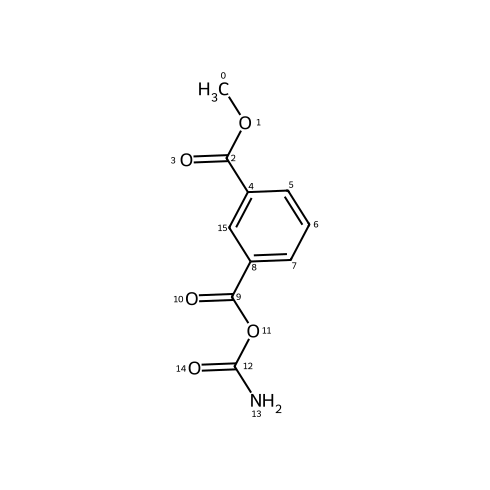 COC(=O)c1cccc(C(=O)OC(N)=O)c1